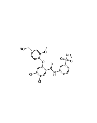 COc1cc(CO)ccc1Oc1cc(Cl)c(Cl)cc1C(=O)Nc1cccc(S(N)(=O)=O)c1